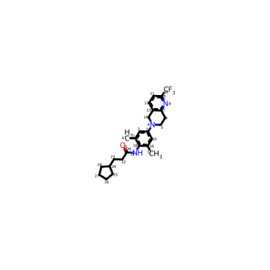 Cc1cc(N2CCc3nc(C(F)(F)F)ccc3C2)cc(C)c1NC(=O)CCC1CCCC1